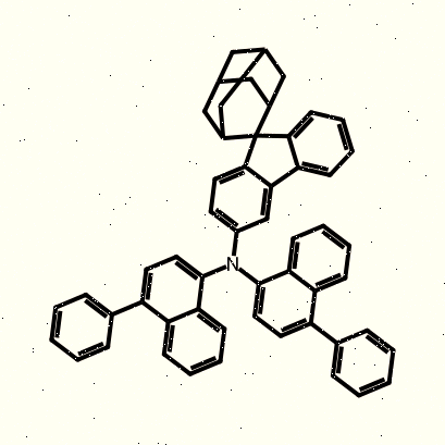 c1ccc(-c2ccc(N(c3ccc4c(c3)-c3ccccc3C43C4CC5CC(C4)CC3C5)c3ccc(-c4ccccc4)c4ccccc34)c3ccccc23)cc1